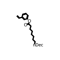 C=Cc1cccc(OC(=O)CCCCCCCCCCCCCCCCC)c1